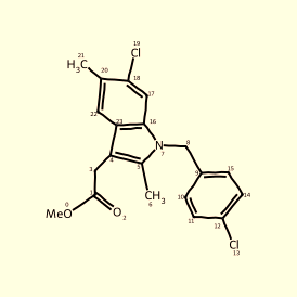 COC(=O)Cc1c(C)n(Cc2ccc(Cl)cc2)c2cc(Cl)c(C)cc12